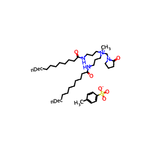 CCCCCCCCCCCCCCCCCC(=O)NCCC[N+](C)(CCCNC(=O)CCCCCCCCCCCCCCCCC)CN1CCCC1=O.Cc1ccc(S(=O)(=O)[O-])cc1